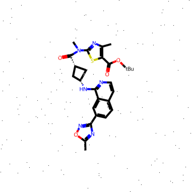 Cc1nc(-c2ccc3ccnc(N[C@H]4C[C@@H](C(=O)N(C)c5nc(C)c(C(=O)OC(C)(C)C)s5)C4)c3c2)no1